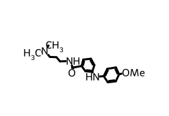 COc1ccc(Nc2cccc(C(=O)NCCCN(C)C)c2)cc1